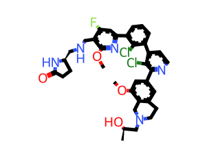 COc1cc(-c2nccc(-c3cccc(-c4cc(F)c(CNC[C@H]5CCC(=O)N5)c(OC)n4)c3Cl)c2Cl)cc2c1CN(C[C@@H](C)O)CC2